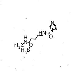 BOC(CCCCNC(=O)n1ccnc1)NC